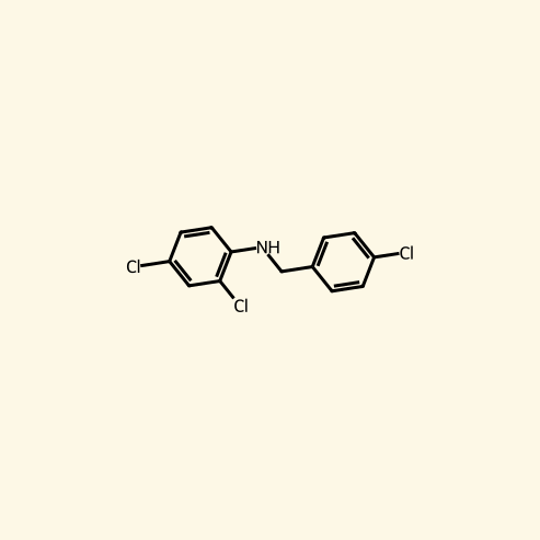 Clc1ccc(CNc2ccc(Cl)cc2Cl)cc1